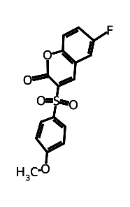 COc1ccc(S(=O)(=O)c2cc3cc(F)ccc3oc2=O)cc1